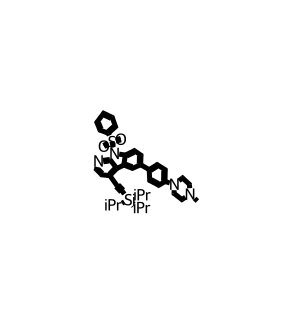 CC(C)[Si](C#Cc1ccnc2c1c1cc(-c3ccc(N4CCN(C)CC4)cc3)ccc1n2S(=O)(=O)c1ccccc1)(C(C)C)C(C)C